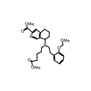 COCOc1ccccc1CCN(CCCCC(=O)OC)C1CCCc2cc(C(=O)OC)ncc21